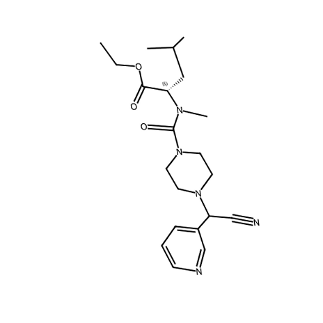 CCOC(=O)[C@H](CC(C)C)N(C)C(=O)N1CCN(C(C#N)c2cccnc2)CC1